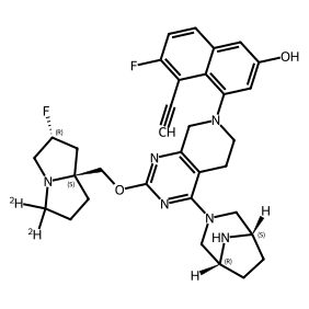 [2H]C1([2H])CC[C@@]2(COc3nc4c(c(N5C[C@H]6CC[C@@H](C5)N6)n3)CCN(c3cc(O)cc5ccc(F)c(C#C)c35)C4)C[C@@H](F)CN12